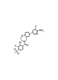 CCc1c(C(=O)N2CCOc3ccc(-c4cnc(N)c(F)c4)cc3C2)ccc(S(C)(=O)=O)c1F